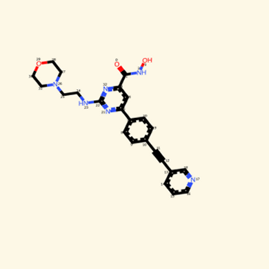 O=C(NO)c1cc(-c2ccc(C#Cc3cccnc3)cc2)nc(NCCN2CCOCC2)n1